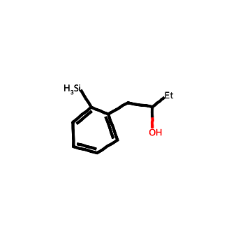 CCC(O)Cc1ccccc1[SiH3]